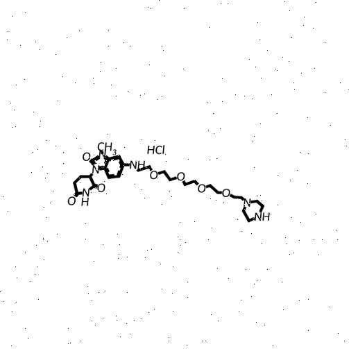 Cl.Cn1c(=O)n(C2CCC(=O)NC2=O)c2ccc(NCCOCCOCCOCCOCCN3CCNCC3)cc21